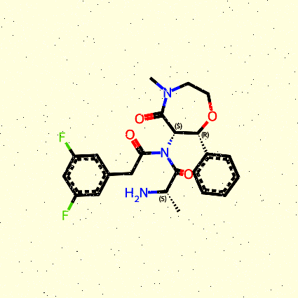 C[C@H](N)C(=O)N(C(=O)Cc1cc(F)cc(F)c1)[C@@H]1C(=O)N(C)CCO[C@@H]1c1ccccc1